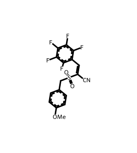 COc1ccc(CS(=O)(=O)/C(C#N)=C\c2c(F)c(F)c(F)c(F)c2F)cc1